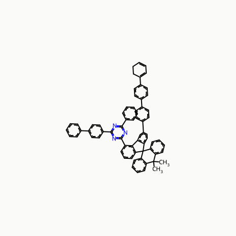 CC1(C)c2ccccc2C2(c3ccc(-c4ccc(-c5ccc(C6=CC=CCC6)cc5)cc4)cc3-c3c(-c4nc(-c5ccccc5)nc(-c5ccc(-c6ccccc6)cc5)n4)cccc32)c2ccccc21